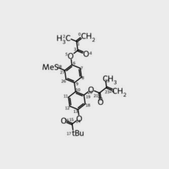 C=C(C)C(=O)Oc1ccc(-c2ccc(OC(=O)C(C)(C)C)cc2OC(=O)C(=C)C)cc1SC